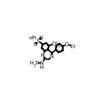 CCCS(=O)(=O)c1cc2c(c(C(F)(F)F)c1)C(c1ccc(OCC)cc1)=NCC(NN)=N2